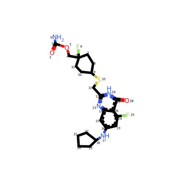 NC(=O)OCC1(F)CCC(SCc2nc3cc(NC4CCCC4)cc(F)c3c(=O)[nH]2)CC1